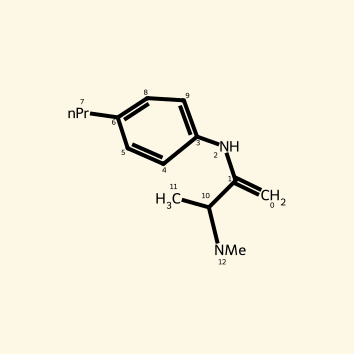 C=C(Nc1ccc(CCC)cc1)C(C)NC